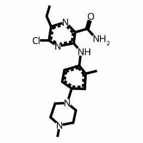 CCc1nc(C(N)=O)c(Nc2ccc(N3CCN(C)CC3)cc2C)nc1Cl